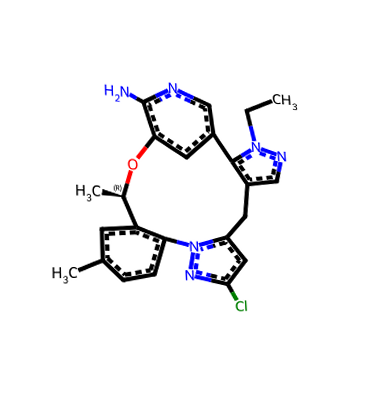 CCn1ncc2c1-c1cnc(N)c(c1)O[C@H](C)c1cc(C)ccc1-n1nc(Cl)cc1C2